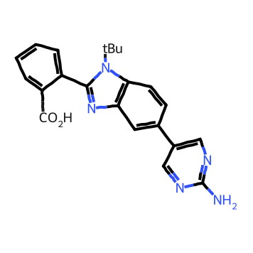 CC(C)(C)n1c(-c2ccccc2C(=O)O)nc2cc(-c3cnc(N)nc3)ccc21